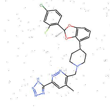 Cc1cc(-c2nnn[nH]2)nnc1CN1CCC(c2cccc3c2O[C@@](C)(c2ccc(Cl)cc2F)O3)CC1